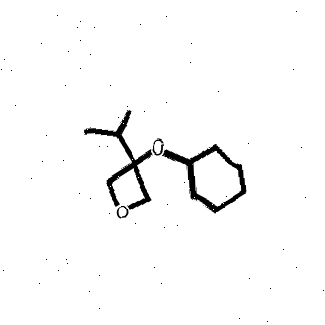 CC(C)C1(OC2CCCCC2)COC1